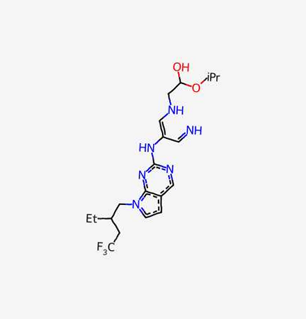 CCC(Cn1ccc2cnc(N/C(C=N)=C/NCC(O)OC(C)C)nc21)CC(F)(F)F